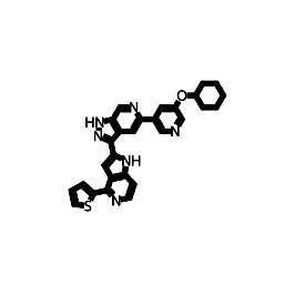 c1csc(-c2nccc3[nH]c(-c4n[nH]c5cnc(-c6cncc(OC7CCCCC7)c6)cc45)cc23)c1